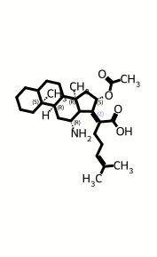 CC(=O)O[C@H]1C[C@@]2(C)C(/C1=C(\CCC=C(C)C)C(=O)O)[C@H](N)C[C@@H]1C2CCC2CCCC[C@@]21C